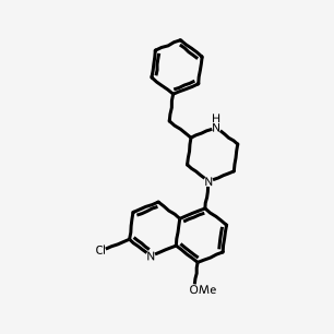 COc1ccc(N2CCNC(Cc3ccccc3)C2)c2ccc(Cl)nc12